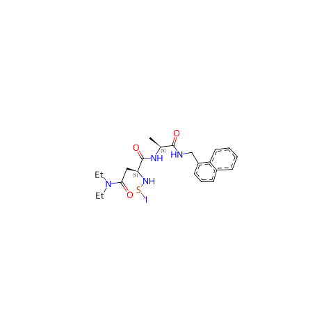 CCN(CC)C(=O)C[C@H](NSI)C(=O)N[C@@H](C)C(=O)NCc1cccc2ccccc12